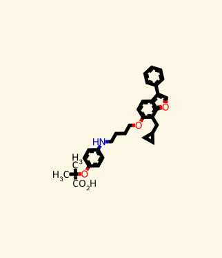 CC(C)(Oc1ccc(NCCCCOc2ccc3c(-c4ccccc4)coc3c2CC2CC2)cc1)C(=O)O